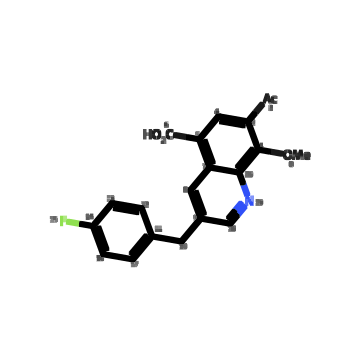 COc1c(C(C)=O)cc(C(=O)O)c2cc(Cc3ccc(F)cc3)cnc12